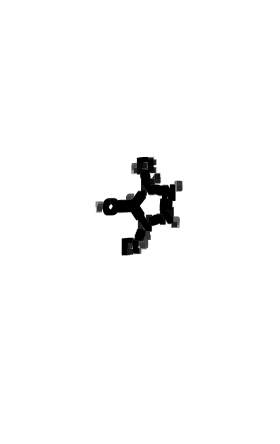 CCn1nnn(CC)c1=O